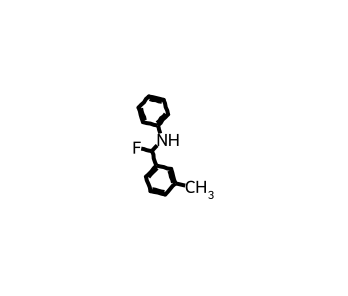 Cc1cccc(C(F)Nc2ccccc2)c1